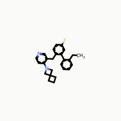 CCc1ccccc1-c1cc(F)ccc1Cc1cnccc1N1CC2(CCC2)C1